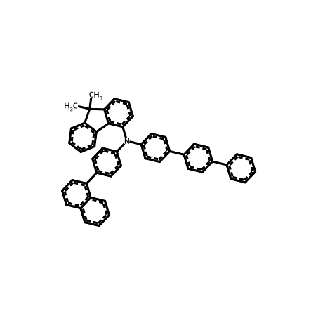 CC1(C)c2ccccc2-c2c(N(c3ccc(-c4ccc(-c5ccccc5)cc4)cc3)c3ccc(-c4cccc5ccccc45)cc3)cccc21